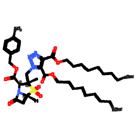 CCCCCCCCCCCCCCCCCCOC(=O)c1nnn(C[C@@]2(C)[C@H](C(=O)OCc3ccc([N+](=O)[O-])cc3)N3C(=O)C[C@H]3S2(=O)=O)c1C(=O)OCCCCCCCCCCCCCCCCCC